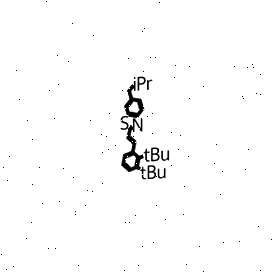 CC(C)Cc1ccc2nc(/C=C/c3cccc(C(C)(C)C)c3C(C)(C)C)sc2c1